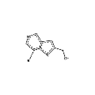 OCc1cc2cncc(Br)c2s1